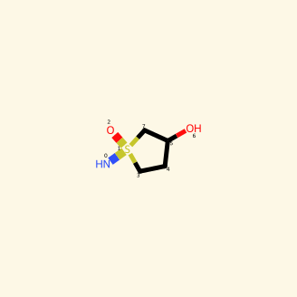 N=S1(=O)CCC(O)C1